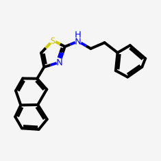 c1ccc(CCNc2nc(-c3ccc4ccccc4c3)cs2)cc1